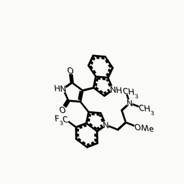 COC(CN(C)C)Cn1cc(C2=C(c3c[nH]c4ccccc34)C(=O)NC2=O)c2c(C(F)(F)F)cccc21